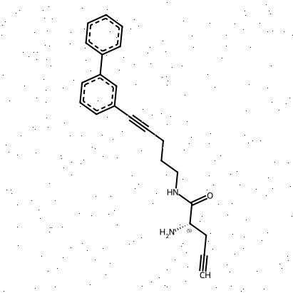 C#CC[C@H](N)C(=O)NCCCC#Cc1cccc(-c2ccccc2)c1